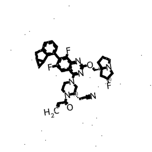 C=CC(=O)N1CCN(c2nc(OC[C@@]34CCCN3C[C@H](F)C4)nc3c(F)c(-c4cccc5c4C4CC4C5)c(F)cc23)C[C@@H]1CC#N